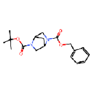 CC(C)(C)OC(=O)N1CC2CC1CN2C(=O)OCc1ccccc1